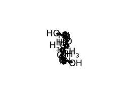 Cc1c(NC(=O)c2cc3n(n2)CCCC3NCCO)cccc1-c1cccc(NC(=O)c2cc3n(n2)CCCC3NCCO)c1C